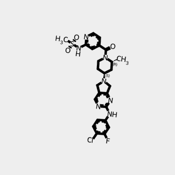 C[C@@H]1C[C@@H](N2Cc3cnc(Nc4ccc(Cl)c(F)c4)nc3C2)CCN1C(=O)c1ccnc(NS(C)(=O)=O)c1